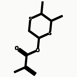 C=C(C)C(=O)OC1CSC(C)C(C)S1